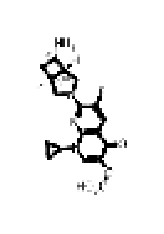 C[C@]12C[C@H](N)[C@@H]1CN(c1nc3c(cc1F)c(=O)c(OC(=O)O)cn3C1CC1)C2